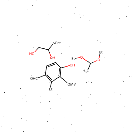 CCCCCCCCC(O)CO.CCOC(C)OCC.CCc1c(C=O)ccc(O)c1OC